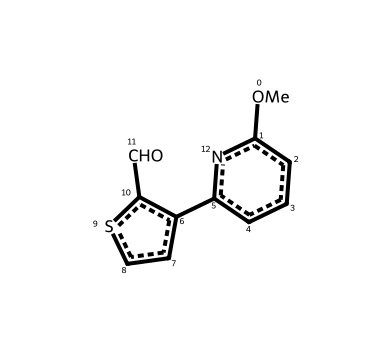 COc1cccc(-c2ccsc2C=O)n1